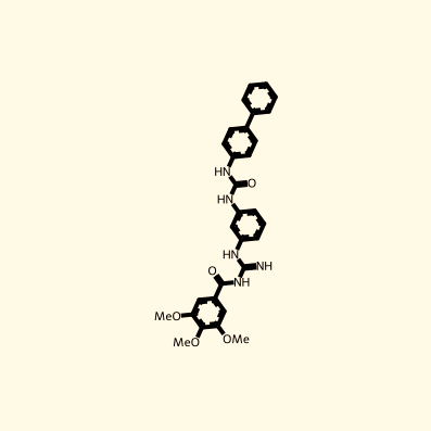 COc1cc(C(=O)NC(=N)Nc2cccc(NC(=O)Nc3ccc(-c4ccccc4)cc3)c2)cc(OC)c1OC